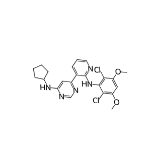 COc1cc(OC)c(Cl)c(Nc2ncccc2-c2cc(NC3CCCC3)ncn2)c1Cl